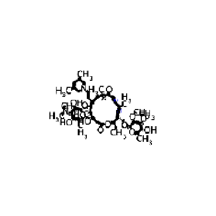 CC[C@H]1OC(=O)CC(O)[C@H](C)[C@@H](O[C@@H]2O[C@H](C)[C@@H](O)[C@H](N(C)C)[C@H]2O)[C@@H](CCN2CC(C)CC(C)C2)C[C@@H](C)C(=O)/C=C/C(C)=C/[C@@H]1CO[C@@H]1O[C@H](C)[C@@H](O)[C@@H](OC)[C@H]1OC